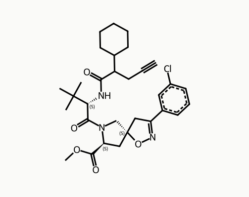 C#CCC(C(=O)N[C@H](C(=O)N1C[C@@]2(CC(c3cccc(Cl)c3)=NO2)C[C@H]1C(=O)OC)C(C)(C)C)C1CCCCC1